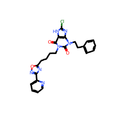 O=c1c2[nH]c(Cl)nc2n(CCc2ccccc2)c(=O)n1CCCCc1nc(-c2ccccn2)no1